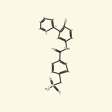 CS(=O)(=O)Cc1ccc(C(=O)Nc2ccc(Cl)c(-c3ccccn3)c2)cc1